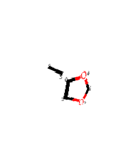 C1COCO1.CC